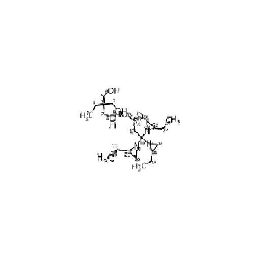 CCC(CO)(CO)CO.CCC1CN1C(CC(=O)O)(N1CC1CC)N1CC1CC